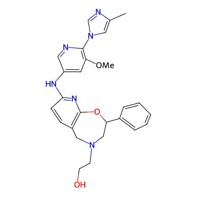 COc1cc(Nc2ccc3c(n2)OC(c2ccccc2)CN(CCO)C3)cnc1-n1cnc(C)c1